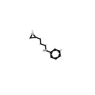 c1ccc(NCCCC2CO2)cc1